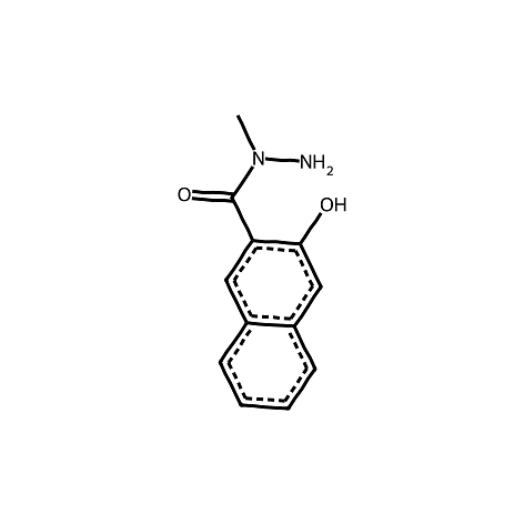 CN(N)C(=O)c1cc2ccccc2cc1O